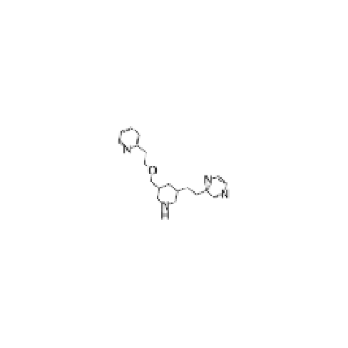 c1ccc(CCOCC2CNCC(CCc3cnccn3)C2)nc1